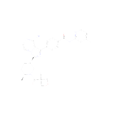 C[C@H]1CC[C@@H](c2nc(-c3ccc(C(=O)Nc4cc(C(F)(F)F)ccn4)cc3)c3c(N)nccn23)CN1C(=O)C1(C)COC1